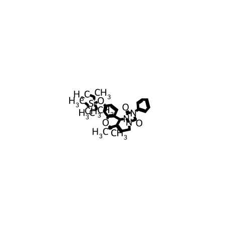 CC(C)[Si](Oc1ccc2c(c1)OC(C)(C)C1=CCn3c(=O)n(-c4ccccc4)c(=O)n3C12)(C(C)C)C(C)C